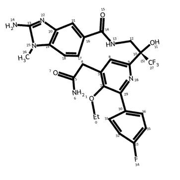 CCOc1c(CC(N)=O)cc([C@@](O)(CNC(=O)c2ccc3c(c2)nc(N)n3C)C(F)(F)F)nc1-c1ccc(F)cc1